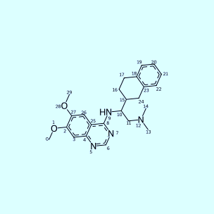 COc1cc2ncnc(NC(CN(C)C)C3CCc4ccccc4C3)c2cc1OC